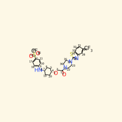 O=C(CO[C@H]1CC[C@H](Nc2ccc(S(=O)(=O)C(F)(F)F)cc2)CC1)N1CCN(c2nc3cc(C(F)(F)F)ccc3s2)CC1